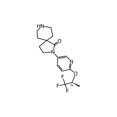 C[C@H](Oc1ccc(N2CCC3(CCNCC3)C2=O)cn1)C(F)(F)F